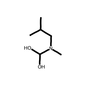 CC(C)CN(C)C(O)O